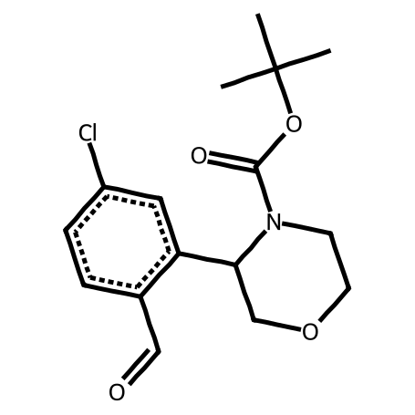 CC(C)(C)OC(=O)N1CCOCC1c1cc(Cl)ccc1C=O